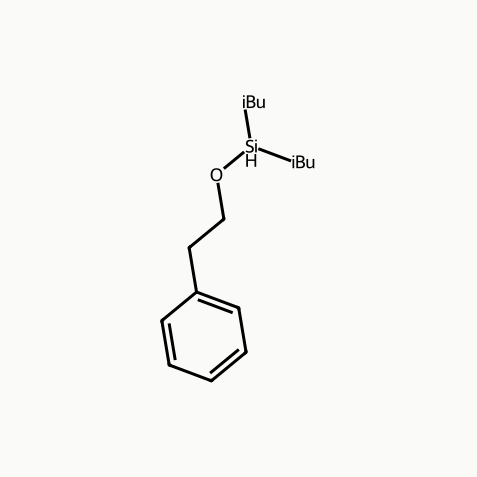 CCC(C)[SiH](OCCc1ccccc1)C(C)CC